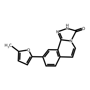 Cc1ccc(-c2ccc3ccn4c(=O)[nH]nc4c3c2)o1